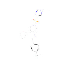 Cn1cnc(S(=O)(=O)N2C[C@@H](NCc3ccc(C(F)(F)F)cc3Cl)[C@H](C3CCCO3)C2)c1